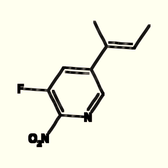 C/C=C(\C)c1cnc([N+](=O)[O-])c(F)c1